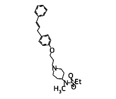 CCS(=O)(=O)N(C)C1CCN(CCCOc2ccc(CC=Cc3ccccc3)cc2)CC1